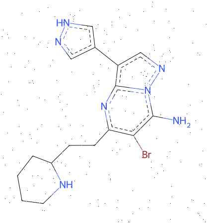 Nc1c(Br)c(CCC2CCCCN2)nc2c(-c3cn[nH]c3)cnn12